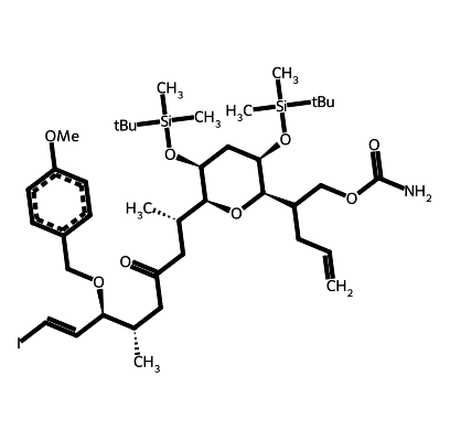 C=CCC(COC(N)=O)[C@H]1O[C@@H]([C@@H](C)CC(=O)C[C@H](C)[C@@H](/C=C/I)OCc2ccc(OC)cc2)[C@@H](O[Si](C)(C)C(C)(C)C)C[C@H]1O[Si](C)(C)C(C)(C)C